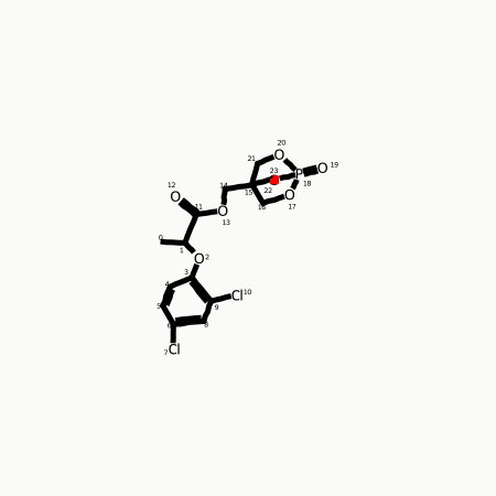 CC(Oc1ccc(Cl)cc1Cl)C(=O)OCC12COP(=O)(OC1)OC2